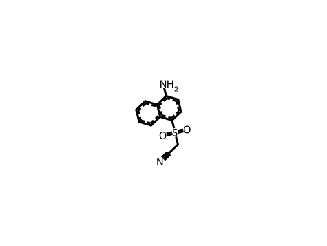 N#CCS(=O)(=O)c1ccc(N)c2ccccc12